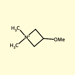 COC1C[N+](C)(C)C1